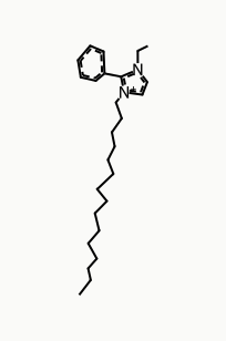 CCCCCCCCCCCCCCC[n+]1ccn(CC)c1-c1ccccc1